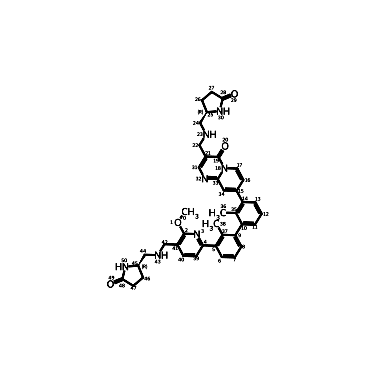 COc1nc(-c2cccc(-c3cccc(-c4ccn5c(=O)c(CNC[C@H]6CCC(=O)N6)cnc5c4)c3C)c2C)ccc1CNC[C@H]1CCC(=O)N1